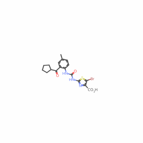 Cc1ccc(NC(=O)Nc2nc(C(=O)O)c(Br)s2)c(C(=O)C2CCCC2)c1